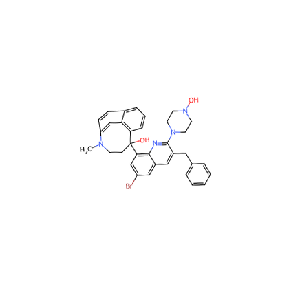 CN1CCC(O)(c2cc(Br)cc3cc(Cc4ccccc4)c(N4CCN(O)CC4)nc23)c2cccc3ccc1cc23